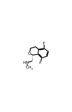 CNC[C@@H]1OCCc2c(F)ccc(F)c21